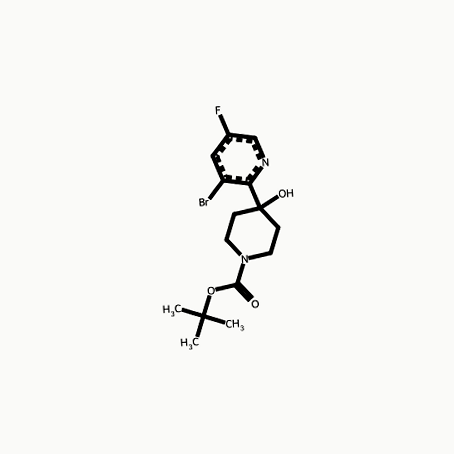 CC(C)(C)OC(=O)N1CCC(O)(c2ncc(F)cc2Br)CC1